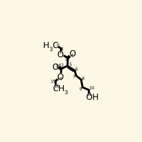 CCOC(=O)C(=CCCCCO)C(=O)OCC